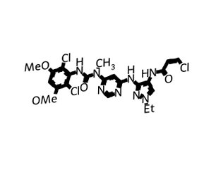 CCn1cc(NC(=O)/C=C\Cl)c(Nc2cc(N(C)C(=O)Nc3c(Cl)c(OC)cc(OC)c3Cl)ncn2)n1